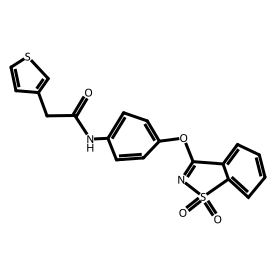 O=C(Cc1ccsc1)Nc1ccc(OC2=NS(=O)(=O)c3ccccc32)cc1